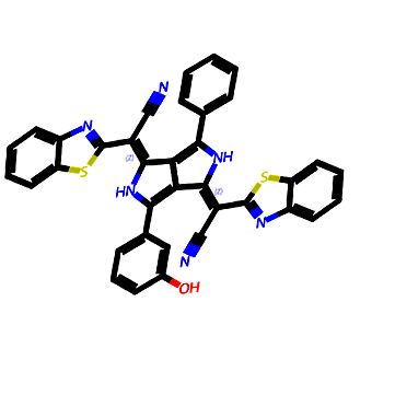 N#C/C(c1nc2ccccc2s1)=c1/[nH]c(-c2cccc(O)c2)c2/c(=C(\C#N)c3nc4ccccc4s3)[nH]c(-c3ccccc3)c12